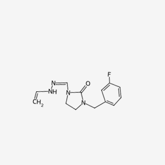 C=CN/N=C\N1CCN(Cc2cccc(F)c2)C1=O